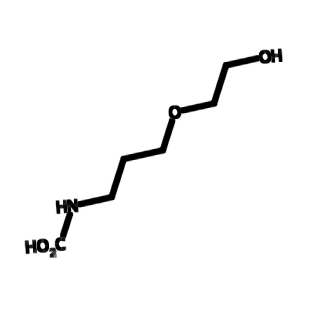 O=C(O)NCCCOCCO